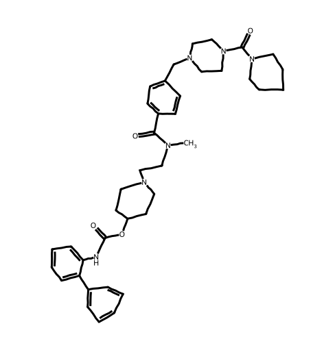 CN(CCN1CCC(OC(=O)Nc2ccccc2-c2ccccc2)CC1)C(=O)c1ccc(CN2CCN(C(=O)N3CCCCC3)CC2)cc1